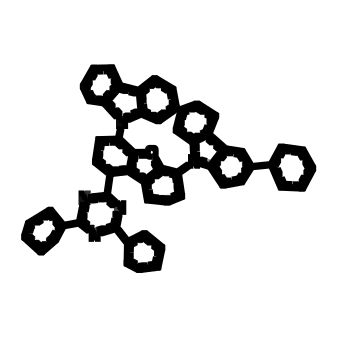 c1ccc(-c2ccc3c(c2)c2ccccc2n3-c2cccc3c2oc2c(-n4c5ccccc5c5ccccc54)ccc(-c4nc(-c5ccccc5)nc(-c5ccccc5)n4)c23)cc1